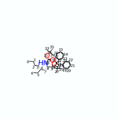 CCCC[C@@H](CC)C[C@@H](CO[Si](c1ccccc1)(c1ccccc1)C(C)(C)C)NC(=O)OC(C)(C)C